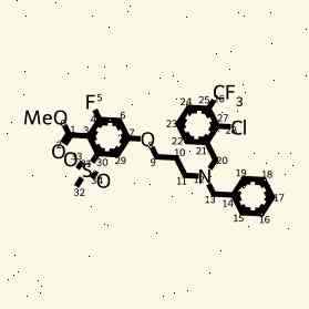 COC(=O)c1c(F)cc(OCCCN(Cc2ccccc2)Cc2cccc(C(F)(F)F)c2Cl)cc1S(C)(=O)=O